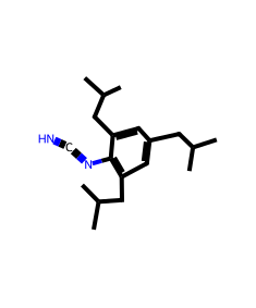 CC(C)Cc1cc(CC(C)C)c(N=C=N)c(CC(C)C)c1